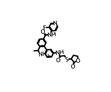 CC(N)c1ccc(C(=O)Nc2ccncc2F)cc1-c1cccc(NC(=O)CSC2CCOC2=O)c1